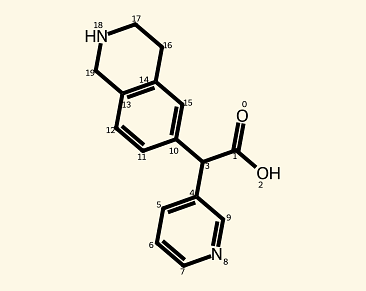 O=C(O)C(c1cccnc1)c1ccc2c(c1)CCNC2